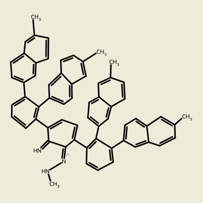 CN/N=C1\C(=N)C(c2cccc(-c3ccc4cc(C)ccc4c3)c2-c2ccc3cc(C)ccc3c2)=CC=C1c1cccc(-c2ccc3cc(C)ccc3c2)c1-c1ccc2cc(C)ccc2c1